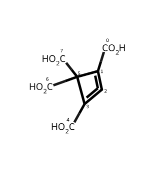 O=C(O)C1=C=C(C(=O)O)C1(C(=O)O)C(=O)O